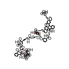 CSSC(C)c1ccccc1C(=O)OC1C[C@H](n2cc(C#CCNC(=O)COCCOC(COc3cccc(C(=O)NCCNC(=O)c4ccccc4C4=C5C=C6CCCN(CCCS(=O)(=O)O)C6C=C5Oc5cc6c(cc54)CCCN6CCCS(=O)(=O)O)c3)N=[N+]=[N-])c(=O)[nH]c2=O)O[C@@H]1COP(=O)(O)OP(=O)(O)OP(=O)(O)O